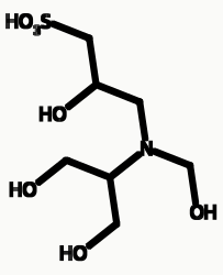 O=S(=O)(O)CC(O)CN(CO)C(CO)CO